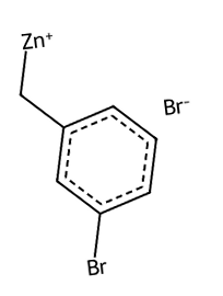 [Br-].[Zn+][CH2]c1cccc(Br)c1